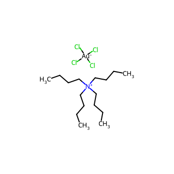 CCCC[N+](CCCC)(CCCC)CCCC.[Cl][Au-]([Cl])([Cl])[Cl]